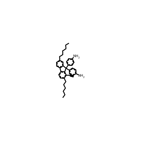 C#Cc1c(CCCCCC)ccc2c1C(c1ccc(N)cc1)(c1ccc(N)cc1)c1cc(CCCCCC)ccc1-2